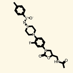 CC(=O)NCC1CN(c2ccc(N3CCS(=N[S+]([O-])c4ccc(C)cc4)CC3)c(F)c2)C(=O)O1